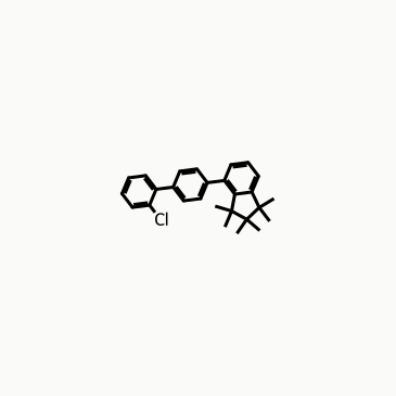 CC1(C)c2cccc(-c3ccc(-c4ccccc4Cl)cc3)c2C(C)(C)C1(C)C